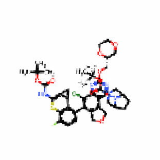 CC(C)(C)OC(=O)NC1=C2CC2c2c(-c3c4c(c5c(N6C7CCC6CN(C(=O)OC(C)(C)C)C7)nc(OC[C@H]6COCCO6)nc5c3Cl)COC4)ccc(F)c2S1